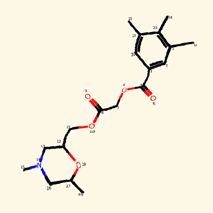 Cc1cc(C(=O)OCC(=O)OCC2CN(C)CC(C)O2)cc(C)c1C